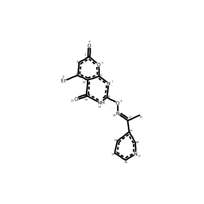 CCc1cc(=O)oc2nc(O/N=C(\C)c3cccnc3)[nH]c(=O)c12